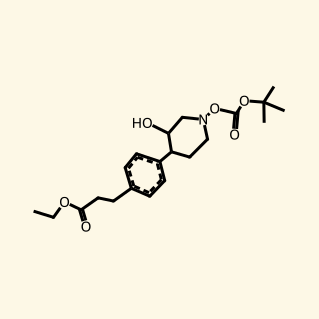 CCOC(=O)CCc1ccc(C2CCN(OC(=O)OC(C)(C)C)CC2O)cc1